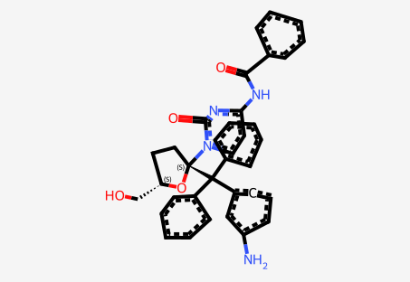 Nc1cccc(C(c2ccccc2)(c2ccccc2)[C@]2(n3ccc(NC(=O)c4ccccc4)nc3=O)CC[C@@H](CO)O2)c1